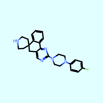 Fc1ccc(N2CCN(c3ncc4c(n3)-c3ccccc3C3(CCNCC3)C4)CC2)cc1